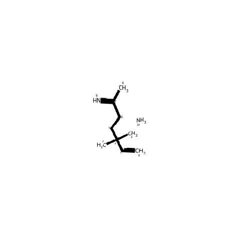 C=CC(C)(C)CCC(C)=N.N